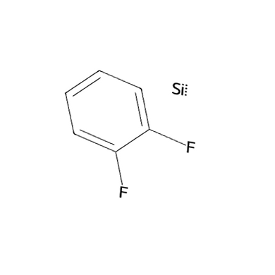 Fc1ccccc1F.[Si]